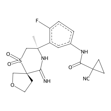 C[C@@]1(c2cc(NC(=O)C3(C#N)CC3)ccc2F)CS(=O)(=O)[C@]2(CCOC2)C(=N)N1